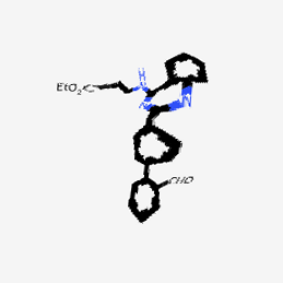 CCOC(=O)CCNc1nc(-c2ccc(-c3ccccc3C=O)cc2)nc2ccccc12